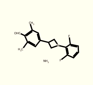 Cc1cc(C2CN(c3c(F)cccc3F)C2)cc(C)c1C=O.N